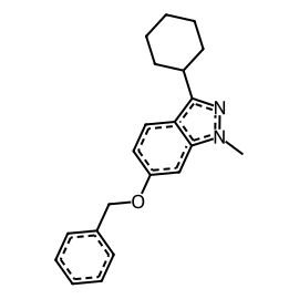 Cn1nc(C2CCCCC2)c2ccc(OCc3ccccc3)cc21